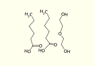 CCCCCC(=O)O.CCCCCC(=O)O.OCCOCCO